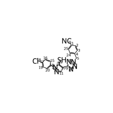 N#Cc1ccc(Cn2nnc(-c3cnn(-c4ccc(Cl)cc4)c3S)n2)cc1